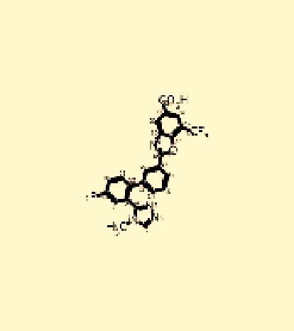 Cn1cnnc1-c1cc(F)ccc1-c1cccc(-c2nc3cc(C(=O)O)cc(C(F)(F)F)c3o2)c1